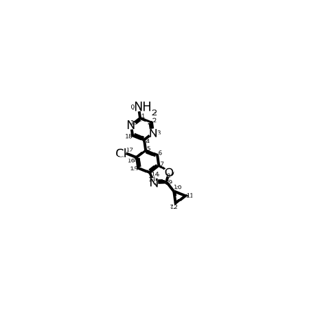 Nc1cnc(-c2cc3oc(C4CC4)nc3cc2Cl)cn1